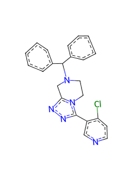 Clc1ccncc1-c1nnc2n1CCN(C(c1ccccc1)c1ccccc1)C2